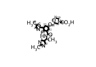 Cc1ncc([C@@H](C)NC(=O)c2cc(OC[C@H]3CN(C(=O)O)CCO3)cc(-c3ncc(C)s3)c2F)cn1